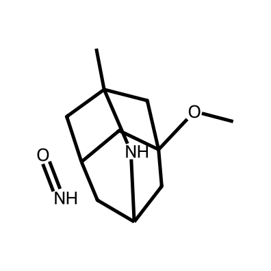 COC12CC3CC(C1)NC(C)(C3)C2.N=O